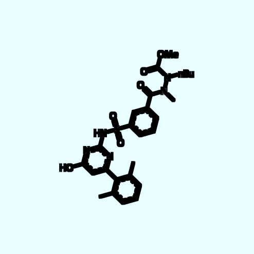 CCCCN(C(=O)OC)N(C)C(=O)c1cccc(S(=O)(=O)Nc2nc(O)cc(-c3c(C)cccc3C)n2)c1